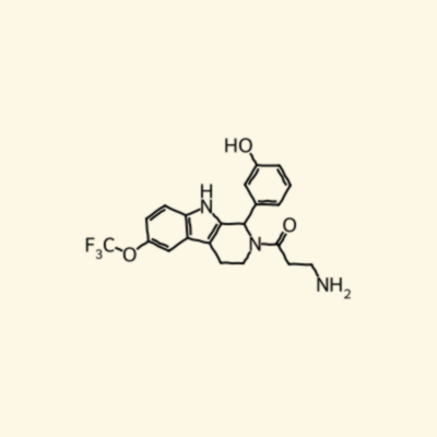 NCCC(=O)N1CCc2c([nH]c3ccc(OC(F)(F)F)cc23)C1c1cccc(O)c1